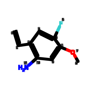 C=Cc1cc(F)c(OC)cc1N